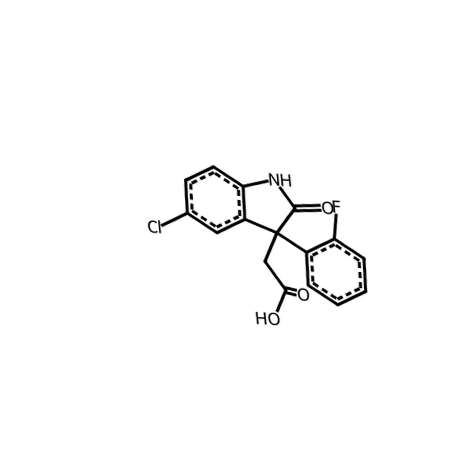 O=C(O)CC1(c2ccccc2F)C(=O)Nc2ccc(Cl)cc21